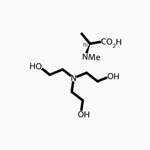 CN[C@@H](C)C(=O)O.OCCN(CCO)CCO